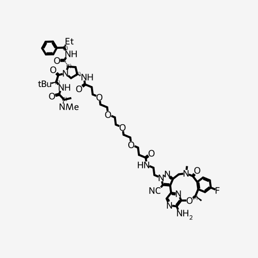 CC[C@@H](NC(=O)[C@@H]1C[C@H](NC(=O)CCOCCOCCOCCOCCC(=O)NCCn2nc3c(c2C#N)-c2cnc(N)c(n2)O[C@H](C)c2cc(F)ccc2C(=O)N(C)C3)CN1C(=O)[C@@H](NC(=O)[C@H](C)NC)C(C)(C)C)c1ccccc1